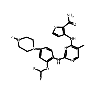 Cc1cnc(Nc2ccc(N3CCN(C(C)C)CC3)cc2OC(F)F)nc1Nc1ccsc1C(N)=O